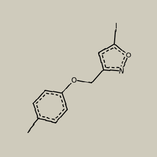 Cc1ccc(OCc2cc(I)on2)cc1